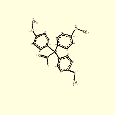 COc1ccc(C(C(=O)F)(c2ccc(OC)cc2)c2ccc(OC)cc2)cc1